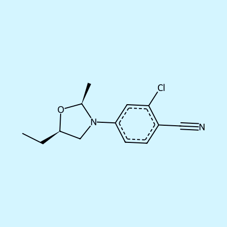 CC[C@@H]1CN(c2ccc(C#N)c(Cl)c2)[C@H](C)O1